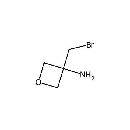 NC1(CBr)COC1